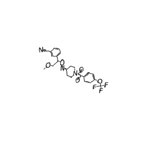 COCC(ON=C1CCN(S(=O)(=O)c2ccc(OC(F)(F)F)cc2)CC1)c1cccc(C#N)c1